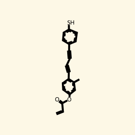 C=CC(=O)Oc1ccc(C#CC#Cc2ccc(S)cc2)c(C)c1